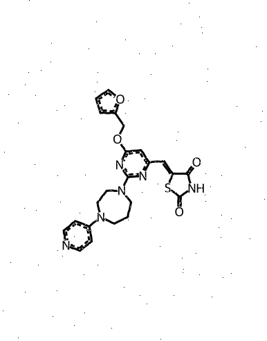 O=C1NC(=O)C(=Cc2cc(OCc3ccco3)nc(N3CCCN(c4ccncc4)CC3)n2)S1